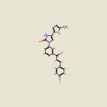 Cc1ccc(-c2cn(-c3cccc(C(=O)C=Cc4ccc(F)cc4)c3)c(=O)[nH]2)s1